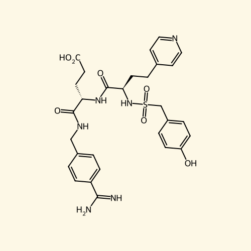 N=C(N)c1ccc(CNC(=O)[C@H](CCC(=O)O)NC(=O)[C@@H](CCc2ccncc2)NS(=O)(=O)Cc2ccc(O)cc2)cc1